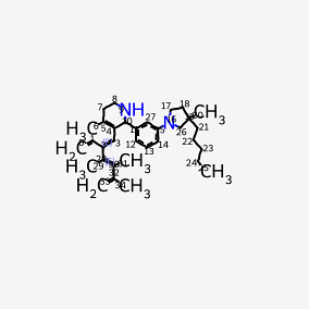 C=CC(=C\C1=C(C)CCNC1c1cccc(N2CCC(C)(CCCCC)C2)c1)/C(C)=C(\C)C(=C)C